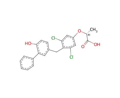 C[C@@H](Oc1cc(Cl)c(Cc2ccc(O)c(-c3ccccc3)c2)c(Cl)c1)C(=O)O